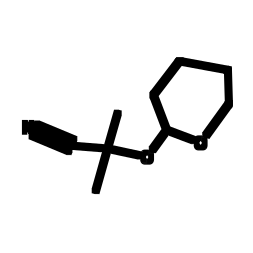 CC(C)(C#N)OC1CCCCO1